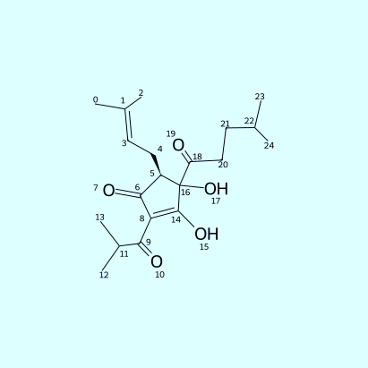 CC(C)=CC[C@@H]1C(=O)C(C(=O)C(C)C)=C(O)C1(O)C(=O)CCC(C)C